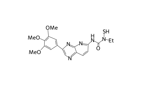 CCN(S)C(=O)Nc1ccc2ncc(-c3cc(OC)c(OC)c(OC)c3)nc2n1